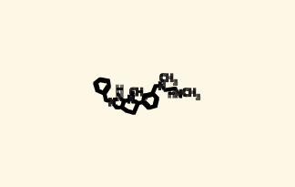 CNCCN(C)Cc1cccc(C2CCC3CN(Cc4ccccc4)NC3N2C)c1